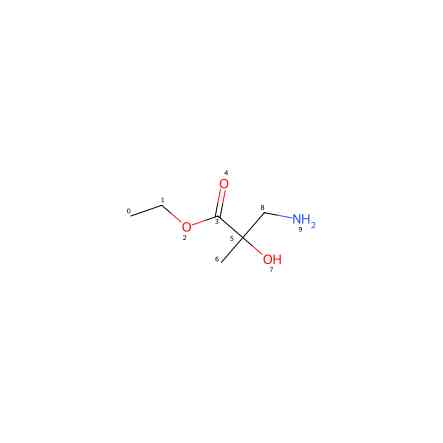 CCOC(=O)C(C)(O)CN